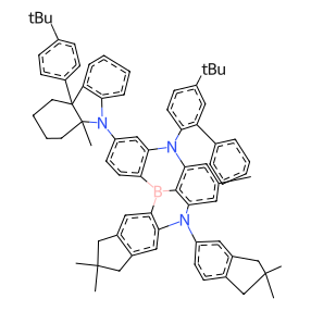 Cc1cc2c3c(c1)N(c1ccc(C(C)(C)C)cc1-c1ccccc1)c1cc(N4c5ccccc5C5(c6ccc(C(C)(C)C)cc6)CCCCC45C)ccc1B3c1cc3c(cc1N2c1ccc2c(c1)CC(C)(C)C2)CC(C)(C)C3